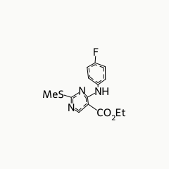 CCOC(=O)c1cnc(SC)nc1Nc1ccc(F)cc1